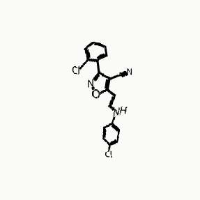 N#Cc1c(-c2ccccc2Cl)noc1C=CNc1ccc(Cl)cc1